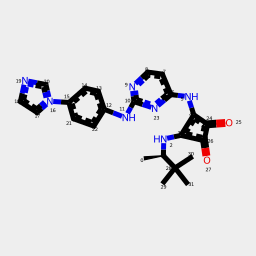 C[C@@H](Nc1c(Nc2ccnc(Nc3ccc(-n4ccnc4)cc3)n2)c(=O)c1=O)C(C)(C)C